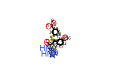 COC(=O)c1cccc(Sc2c(C(=O)Nc3nnn[nH]3)sc3ccc(OC)c(F)c23)c1